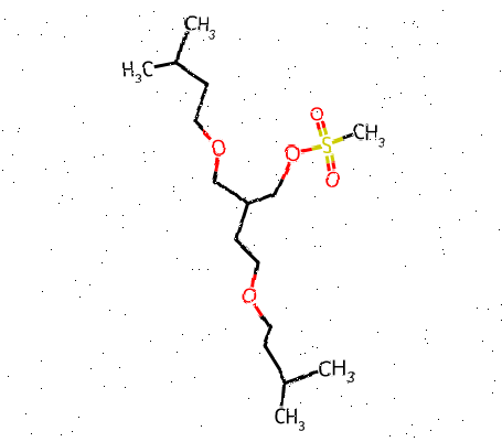 CC(C)CCOCCC(COCCC(C)C)COS(C)(=O)=O